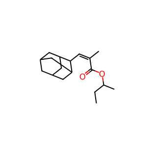 CCC(C)OC(=O)C(C)=CC1C2CC3CC(C2)CC1C3